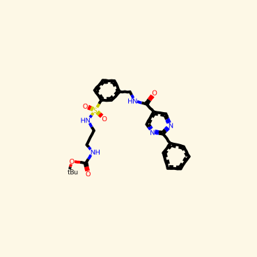 CC(C)(C)OC(=O)NCCNS(=O)(=O)c1cccc(CNC(=O)c2cnc(-c3ccccc3)nc2)c1